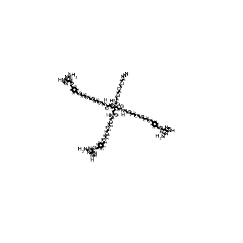 [N-]=[N+]=NCCOCCOCCOCCNC(=O)NC(CCC(=O)NCCOCCOCCOCCOCc1ccc(COc2nc(N)nc3[nH]cnc23)cc1)(CCC(=O)NCCOCCOCCOCCOCc1ccc(COc2nc(N)nc3[nH]cnc23)cc1)CCC(=O)NCCOCCOCCOCCOCc1ccc(COc2nc(N)nc3[nH]cnc23)cc1